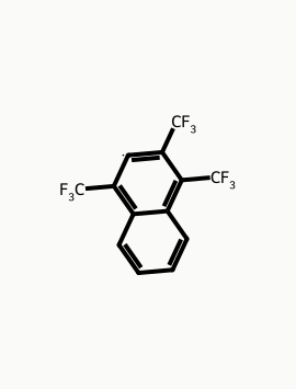 FC(F)(F)c1[c]c(C(F)(F)F)c2ccccc2c1C(F)(F)F